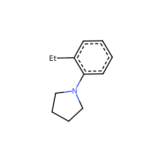 [CH2]Cc1ccccc1N1CCCC1